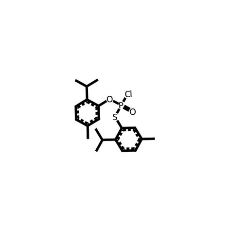 Cc1ccc(C(C)C)c(OP(=O)(Cl)Sc2cc(C)ccc2C(C)C)c1